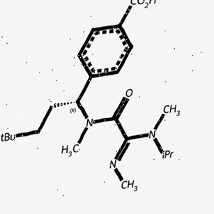 CN=C(C(=O)N(C)[C@H](CCC(C)(C)C)c1ccc(C(=O)O)cc1)N(C)C(C)C